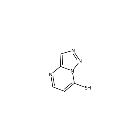 Sc1ccnc2cnnn12